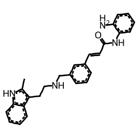 Cc1[nH]c2ccccc2c1CCNCc1cccc(/C=C/C(=O)Nc2ccccc2N)c1